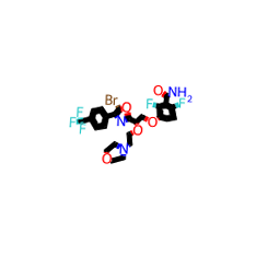 NC(=O)c1c(F)ccc(OCC(OCCN2CCOCC2)c2nc(-c3ccc(C(F)(F)F)cc3)c(Br)o2)c1F